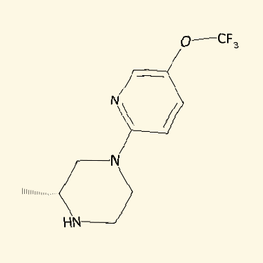 C[C@@H]1CN(c2ccc(OC(F)(F)F)cn2)CCN1